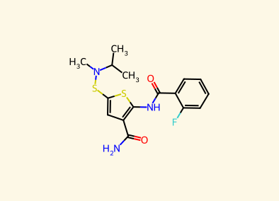 CC(C)N(C)Sc1cc(C(N)=O)c(NC(=O)c2ccccc2F)s1